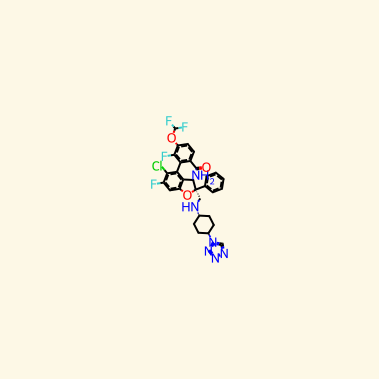 NC(=O)c1ccc(OC(F)F)c(F)c1-c1c(Cl)c(F)cc2c1C[C@@](CN[C@H]1CC[C@H](n3cnnn3)CC1)(c1ccccc1)O2